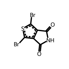 O=C1NC(=O)c2c(Br)sc(Br)c21